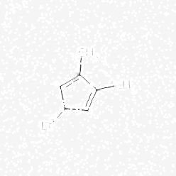 CC[C]1C=C(C)C(C)=C1